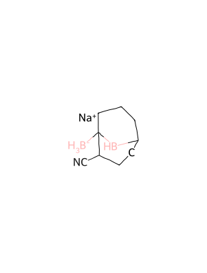 [BH3-]C12BC(CCC1)CCC2C#N.[Na+]